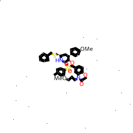 COCCCN1C(=O)COc2ccc(C(O[C@H]3CN[C@H](CSCc4ccccc4)C[C@@H]3c3ccc(OC)cc3)S(=O)(=O)c3ccc(C)cc3)cc21